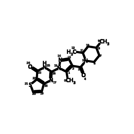 Cc1c(C(=O)N2CCC(C)CC2C)cnn1-c1nc2ccsc2c(=O)[nH]1